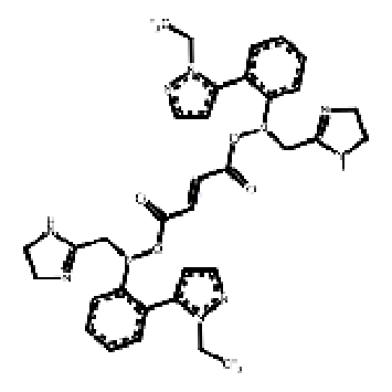 O=C(/C=C/C(=O)ON(CC1=NCCN1)c1ccccc1-c1ccnn1CC(F)(F)F)ON(CC1=NCCN1)c1ccccc1-c1ccnn1CC(F)(F)F